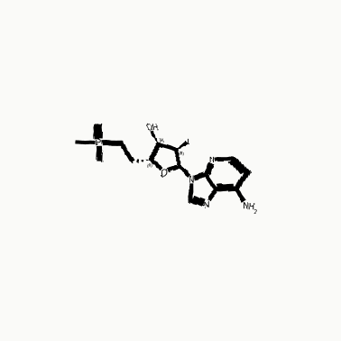 C=P(C)(C)CC[C@H]1OC(n2cnc3c(N)ccnc32)[C@H](I)[C@@H]1O